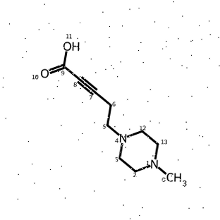 CN1CCN(CCC#CC(=O)O)CC1